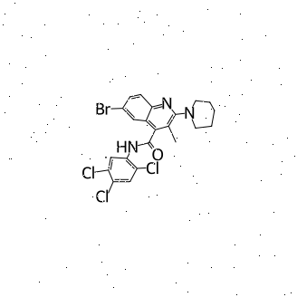 Cc1c(N2CCCCC2)nc2ccc(Br)cc2c1C(=O)Nc1[c]c(Cl)c(Cl)cc1Cl